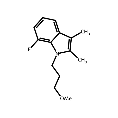 COCCCn1c(C)c(C)c2cccc(F)c21